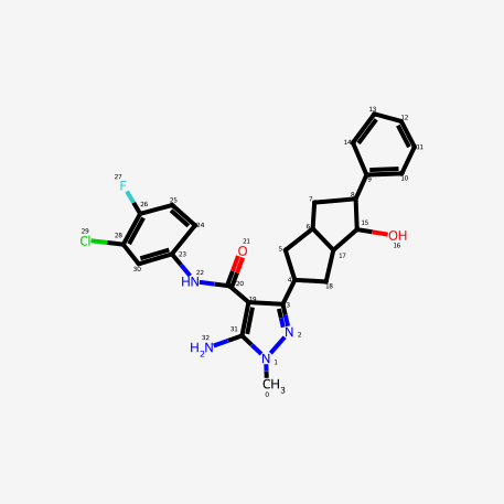 Cn1nc(C2CC3CC(c4ccccc4)C(O)C3C2)c(C(=O)Nc2ccc(F)c(Cl)c2)c1N